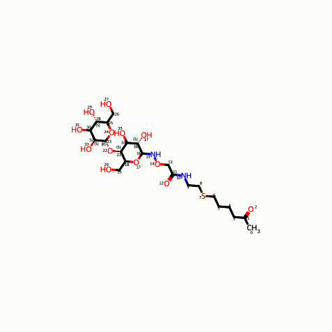 CC(=O)CCCCSCCNC(=O)CONC1OC(CO)[C@@H](O[C@H]2OC(CO)[C@@H](O)C(O)[C@@H]2O)C(O)[C@@H]1O